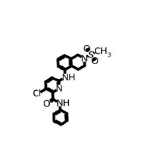 CS(=O)(=O)N1CCc2c(cccc2Nc2ccc(Cl)c(C(=O)Nc3ccccc3)n2)C1